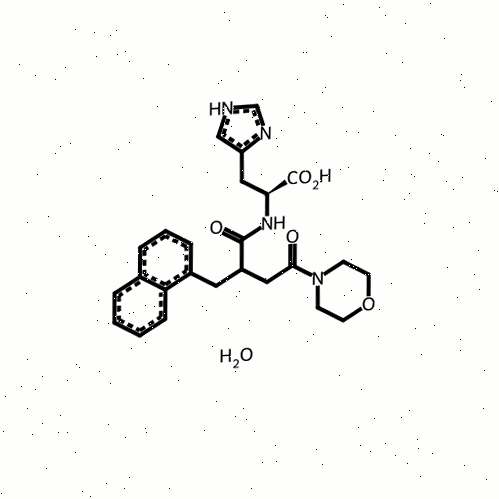 O.O=C(N[C@@H](Cc1c[nH]cn1)C(=O)O)C(CC(=O)N1CCOCC1)Cc1cccc2ccccc12